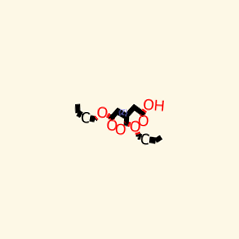 CC=C=COC(=O)/C=C(/CC(=O)O)C(=O)OC=C=CC